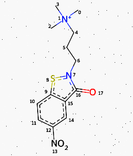 C[N+](C)(C)CCCn1sc2ccc([N+](=O)[O-])cc2c1=O